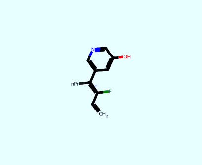 C=C/C(F)=C(\CCC)c1cncc(O)c1